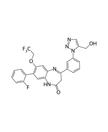 O=C1CC(c2cccc(-n3nncc3CO)c2)=Nc2cc(OCC(F)(F)F)c(-c3ccccc3F)cc2N1